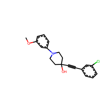 COc1cccc(N2CCC(O)(C#Cc3cccc(Cl)c3)CC2)c1